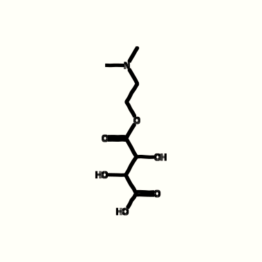 CN(C)CCOC(=O)C(O)C(O)C(=O)O